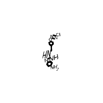 Nc1ccc2nc(NCc3ccc(Oc4cnc(Cl)cn4)cc3)[nH]c2c1